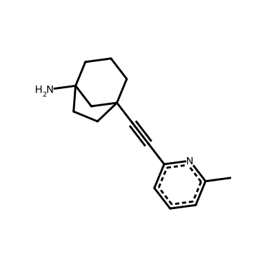 Cc1cccc(C#CC23CCCC(N)(CC2)C3)n1